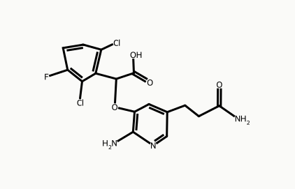 NC(=O)CCc1cnc(N)c(OC(C(=O)O)c2c(Cl)ccc(F)c2Cl)c1